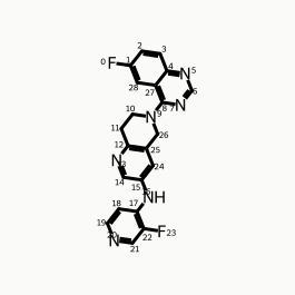 Fc1ccc2ncnc(N3CCc4ncc(Nc5ccncc5F)cc4C3)c2c1